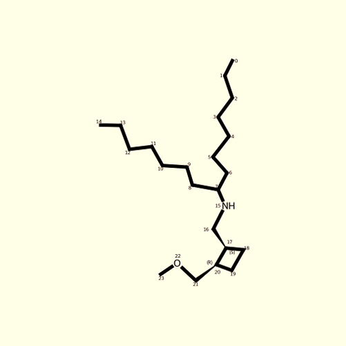 CCCCCCCC(CCCCCCC)NC[C@H]1CC[C@H]1COC